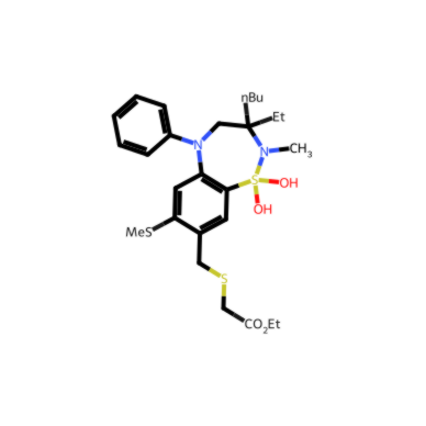 CCCCC1(CC)CN(c2ccccc2)c2cc(SC)c(CSCC(=O)OCC)cc2S(O)(O)N1C